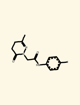 CC1=NN(CC(=O)Nc2ccc(I)cc2)C(=O)CC1